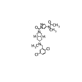 CC(=O)N(C)c1cnn(C(=O)N2C[C@H]3C[C@H](N(C)Cc4cc(Cl)ccc4Cl)C[C@H]3C2)c1